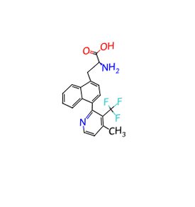 Cc1ccnc(-c2ccc(C[C@H](N)C(=O)O)c3ccccc23)c1C(F)(F)F